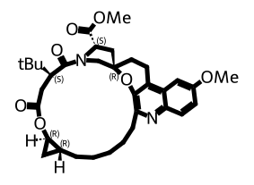 COC(=O)[C@@H]1C[C@]23CCc4c(c(nc5ccc(OC)cc45)CCCCC[C@@H]4C[C@H]4OC(=O)C[C@@H](C(C)(C)C)C(=O)N1C2)O3